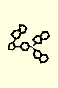 c1ccc2cc(C3=C(c4ccc(N(c5ccc6ccccc6c5)c5ccc6ccccc6c5)cc4)CCC3)ccc2c1